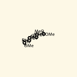 COc1ccc(F)c(Nc2nccc3c(NC(=O)c4cccc5c(NCc6ccc(OC)cc6OC)ncnc45)c(C)ccc23)c1